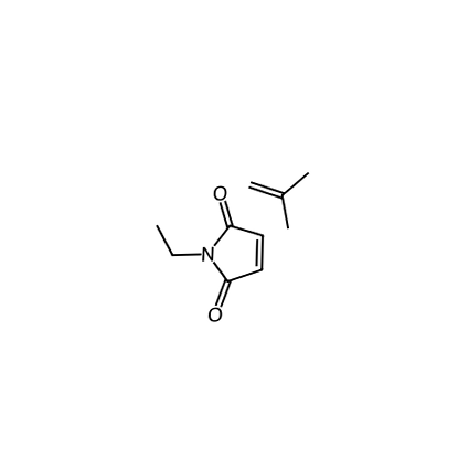 C=C(C)C.CCN1C(=O)C=CC1=O